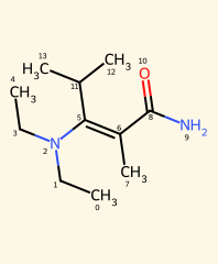 CCN(CC)C(=C(C)C(N)=O)C(C)C